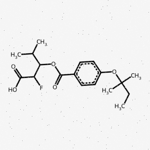 CCC(C)(C)Oc1ccc(C(=O)OC(C(C)C)C(F)C(=O)O)cc1